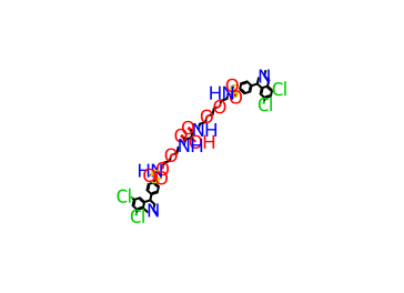 CN1Cc2c(Cl)cc(Cl)cc2C(c2ccc(S(=O)(=O)NCCOCCOCCNC(=O)C(O)C(=O)NCCOCCONS(=O)(=O)c3ccc(C4CN(C)Cc5c(Cl)cc(Cl)cc54)cc3)cc2)C1